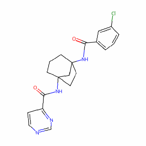 O=C(NC12CCCC(NC(=O)c3ccncn3)(CC1)C2)c1cccc(Cl)c1